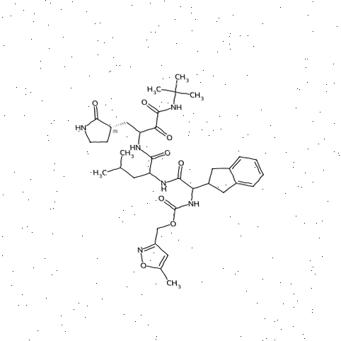 Cc1cc(COC(=O)NC(C(=O)NC(CC(C)C)C(=O)NC(C[C@@H]2CCNC2=O)C(=O)C(=O)NC(C)(C)C)C2Cc3ccccc3C2)no1